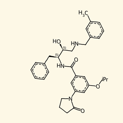 Cc1cccc(CNC[C@H](O)[C@H](Cc2ccccc2)NC(=O)c2cc(OC(C)C)cc(N3CCCC3=O)c2)c1